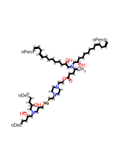 CCCCC/C=C\C/C=C\CCCCCCC(O)CN(CC(O)CCCCCC/C=C\C/C=C\CCCCC)C(C)CCC(=O)OCCN1CCN(CCSSCCCN(CC(O)CCCCCCCCCCCC)CC(O)CCCCCCCCCCCC)CC1